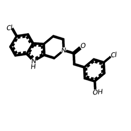 O=C(Cc1cc(O)cc(Cl)c1)N1CCc2c([nH]c3ccc(Cl)cc23)C1